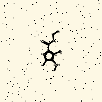 CCOC(=O)c1sc(C)c(NC)c1Br